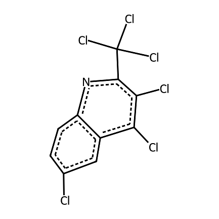 Clc1ccc2nc(C(Cl)(Cl)Cl)c(Cl)c(Cl)c2c1